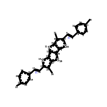 Cc1ccc(/C=C/c2sc3c(sc4c5sc(/C=C/c6ccc(C)cc6)c(C)c5sc34)c2C)cc1